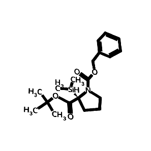 C[SiH](C)[C@@]1(C(=O)OC(C)(C)C)CCCN1C(=O)OCc1ccccc1